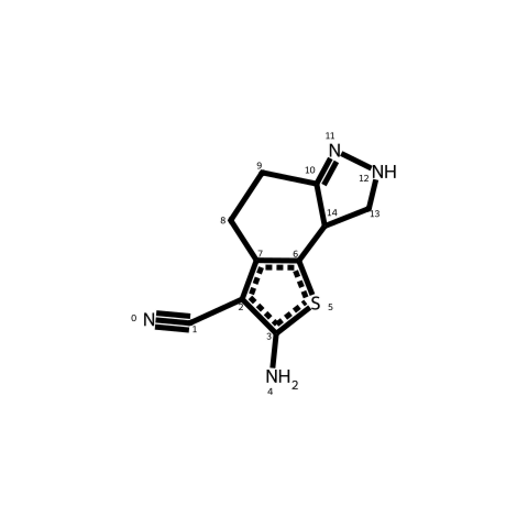 N#Cc1c(N)sc2c1CCC1=NNCC12